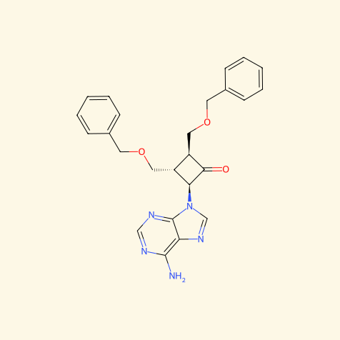 Nc1ncnc2c1ncn2[C@@H]1C(=O)[C@H](COCc2ccccc2)[C@H]1COCc1ccccc1